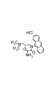 CN(C)CCCN(C(=O)C(N)=O)S1=c2ccccc2=Cc2ccccc21.Cl